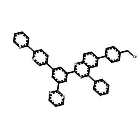 CCc1ccc(-c2ccc3nc(-c4cc(-c5ccc(-c6ccccn6)nc5)cc(-c5ncccn5)c4)nc(-c4ccccc4)c3c2)cc1